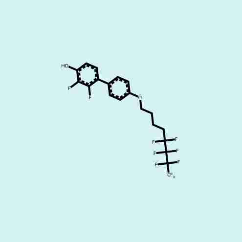 Oc1ccc(-c2ccc(OCCCCC(F)(F)C(F)(F)C(F)(F)C(F)(F)F)cc2)c(F)c1F